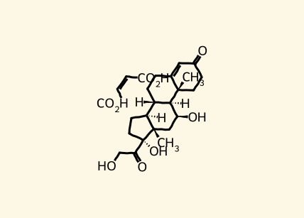 C[C@]12CCC(=O)C=C1CC[C@@H]1[C@@H]2[C@@H](O)C[C@@]2(C)[C@H]1CC[C@]2(O)C(=O)CO.O=C(O)/C=C\C(=O)O